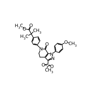 COC(=O)C(C)(C)c1ccc(N2CCc3c(S(C)(=O)=O)nn(-c4ccc(OC)cc4)c3C2=O)cc1